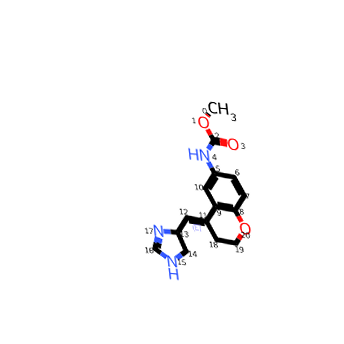 COC(=O)Nc1ccc2c(c1)/C(=C/C1CNC=N1)CCO2